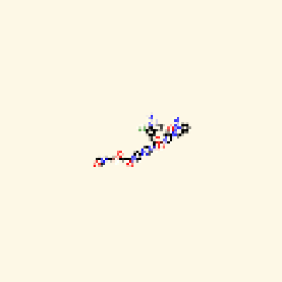 Nc1c(Cl)cc(C[C@@H](OC(=O)N2CCC(N3CCc4ccccc4NC3=O)CC2)C(=O)N2CCN(C3CCN(C(=O)CCC(=O)OCCCN4CCOCC4)CC3)CC2)cc1C(F)(F)F